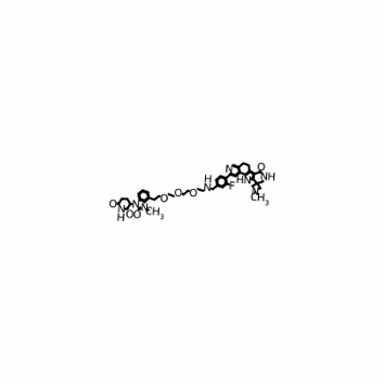 CN1CC2(CNC(=O)c3c2[nH]c2c3CCc3cnc(-c4ccc(CNCCOCCOCCOCCc5cccc6c5n(C)c(=O)n6C5CCC(=O)NC5=O)cc4F)cc3-2)C1